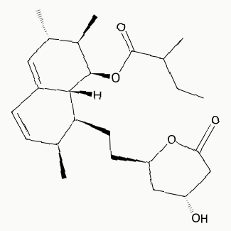 CCC(C)C(=O)O[C@@H]1[C@H](C)[C@@H](C)C=C2C=C[C@H](C)[C@H](CC[C@@H]3C[C@@H](O)CC(=O)O3)[C@H]21